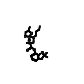 CCCCN(SN(C)C(=O)Oc1cccc2c1OC(C)(C)C2)P1(=O)OCC(C)O1